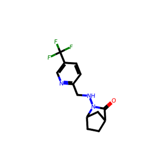 O=C1C2CCC(C2)N1NCc1ccc(C(F)(F)F)cn1